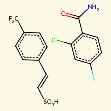 NC(=O)c1ccc(F)cc1Cl.O=S(=O)(O)C=Cc1ccc(C(F)(F)F)cc1